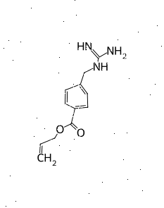 C=CCOC(=O)c1ccc(CNC(=N)N)cc1